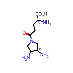 N[C@@H]1CN(C(=O)CC[C@H](N)C(=O)O)C[C@@H]1N